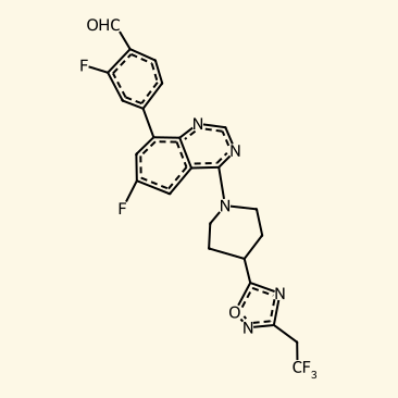 O=Cc1ccc(-c2cc(F)cc3c(N4CCC(c5nc(CC(F)(F)F)no5)CC4)ncnc23)cc1F